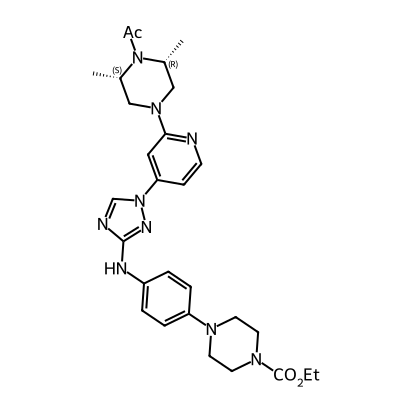 CCOC(=O)N1CCN(c2ccc(Nc3ncn(-c4ccnc(N5C[C@@H](C)N(C(C)=O)[C@@H](C)C5)c4)n3)cc2)CC1